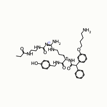 CCC(=O)NCCNC(=O)/N=C(/N)NCCC[C@@H](NC(=O)C(c1ccccc1)c1cccc(OCCCCN)c1)C(=O)NCc1ccc(O)cc1